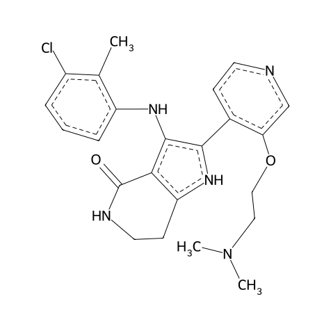 Cc1c(Cl)cccc1Nc1c(-c2ccncc2OCCN(C)C)[nH]c2c1C(=O)NCC2